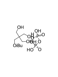 CC(C)COCC(CO)(CO)CO.O=P(O)(O)OP(=O)(O)O